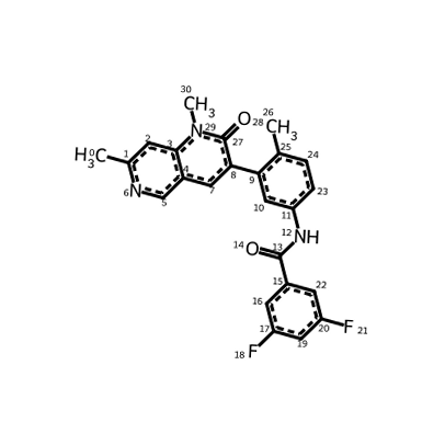 Cc1cc2c(cn1)cc(-c1cc(NC(=O)c3cc(F)cc(F)c3)ccc1C)c(=O)n2C